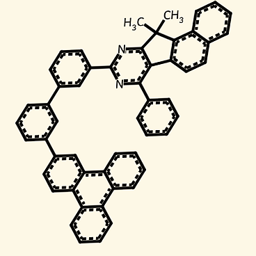 CC1(C)c2nc(-c3cccc(-c4cccc(-c5ccc6c7ccccc7c7ccccc7c6c5)c4)c3)nc(-c3ccccc3)c2-c2ccc3ccccc3c21